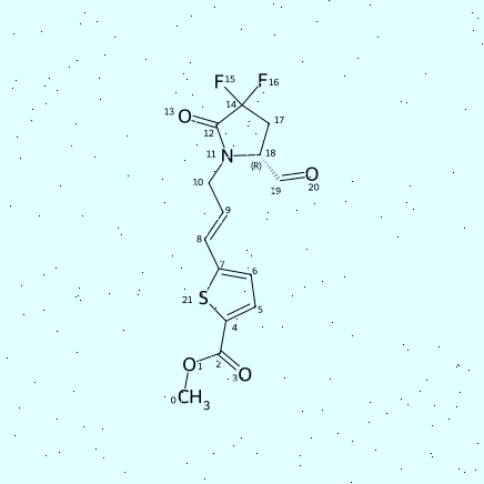 COC(=O)c1ccc(C=CCN2C(=O)C(F)(F)C[C@@H]2C=O)s1